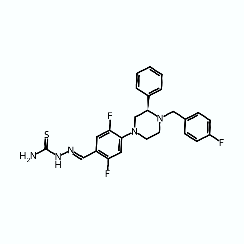 NC(=S)NN=Cc1cc(F)c(N2CCN(Cc3ccc(F)cc3)[C@H](c3ccccc3)C2)cc1F